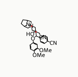 COc1ccc(OC(CCCN2C3CCC2CN(C[C@@H](O)CC#N)C3)c2ccc(C#N)cc2)cc1OC